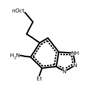 CCCCCCCCCCc1cc2[nH]nnc2c(CC)c1N